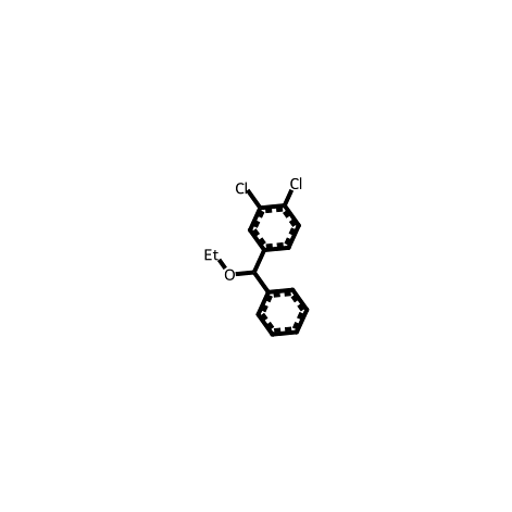 [CH2]COC(c1ccccc1)c1ccc(Cl)c(Cl)c1